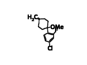 C=C1CCC(OC)(c2ccc(Cl)cc2F)CC1